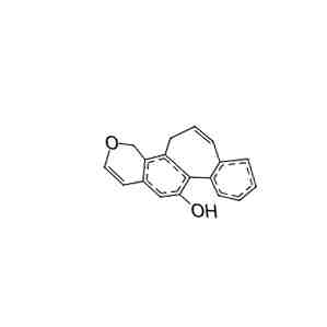 Oc1cc2c(c3c1-c1ccccc1C=CC3)COC=C2